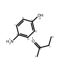 CCC(C)=O.Nc1ccc(O)cc1